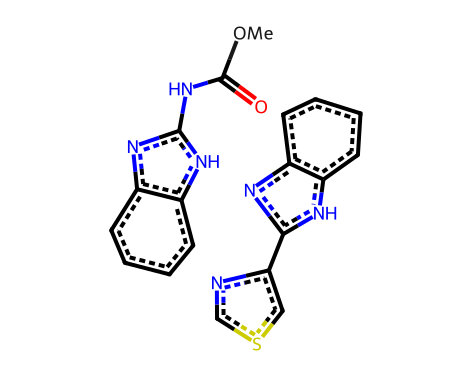 COC(=O)Nc1nc2ccccc2[nH]1.c1ccc2[nH]c(-c3cscn3)nc2c1